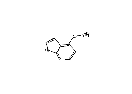 CCCOc1cccc2[te]ccc12